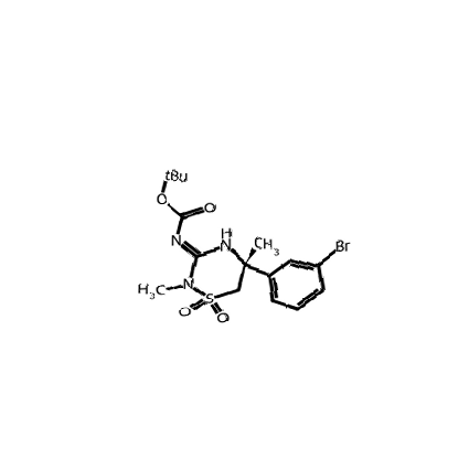 CN1/C(=N/C(=O)OC(C)(C)C)N[C@](C)(c2cccc(Br)c2)CS1(=O)=O